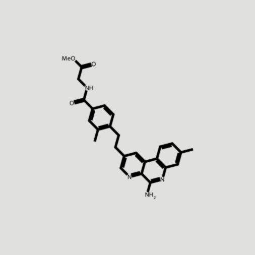 COC(=O)CNC(=O)c1ccc(CCc2cnc3c(N)nc4cc(C)ccc4c3c2)c(C)c1